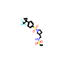 C=CS(=O)(=O)NCC1CCN(S(=O)(=O)c2ccc(C3(C(F)(F)F)CC3)cc2)C1